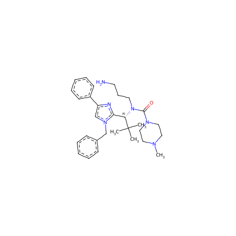 CN1CCN(C(=O)N(CCCN)[C@@H](c2nc(-c3ccccc3)cn2Cc2ccccc2)C(C)(C)C)CC1